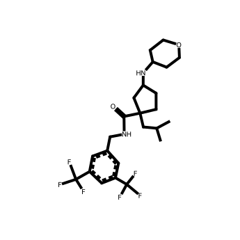 CC(C)CC1(C(=O)NCc2cc(C(F)(F)F)cc(C(F)(F)F)c2)CCC(NC2CCOCC2)C1